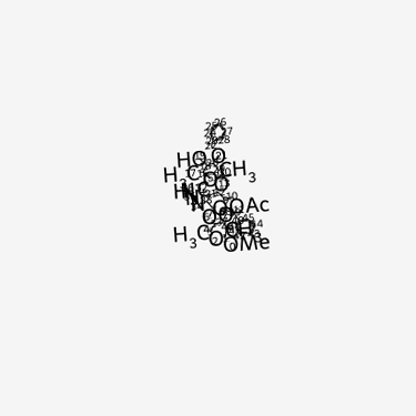 CO[C@@H]1OC(C)[C@H](O[C@@H]2OC(COC(C)=O)[C@@H](O[C@@H]3OC(C)[C@@H](O)[C@@H](OCc4ccccc4)C3C)[C@H](C)C2N=[N+]=[N-])[C@@H](OCc2ccccc2)C1C